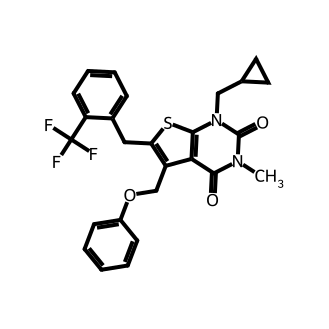 Cn1c(=O)c2c(COc3ccccc3)c(Cc3ccccc3C(F)(F)F)sc2n(CC2CC2)c1=O